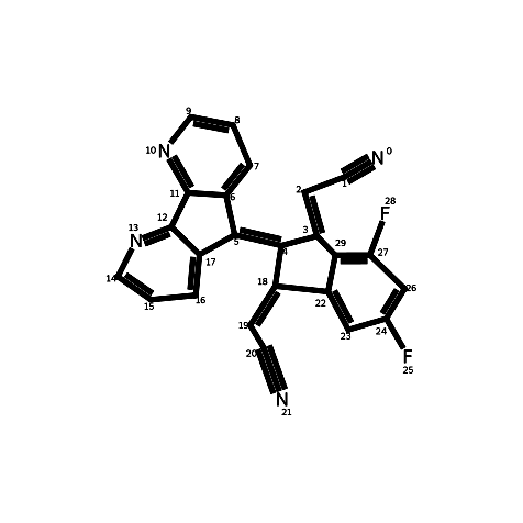 N#C/C=C1/C(=C2c3cccnc3-c3ncccc32)/C(=C/C#N)c2cc(F)cc(F)c21